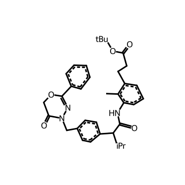 Cc1c(CCC(=O)OC(C)(C)C)cccc1NC(=O)C(c1ccc(CN2N=C(c3ccccc3)OCC2=O)cc1)C(C)C